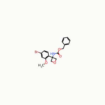 COc1cc(Br)ccc1C1(NC(=O)OCc2ccccc2)COC1